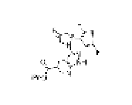 CC(C)OC(=O)c1cnc2[nH]nc(N3C[C@@H](F)C[C@@H]3c3cc(F)ccc3F)c2c1